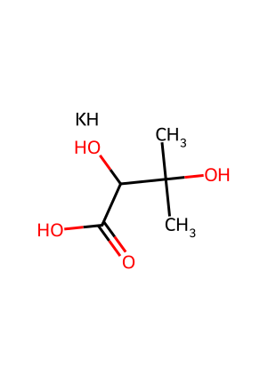 CC(C)(O)C(O)C(=O)O.[KH]